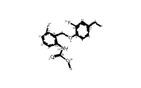 CCc1ccc(OCc2c(F)cccc2NC(=O)OC)c(F)c1